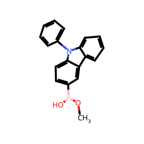 COB(O)c1ccc2c(c1)c1ccccc1n2-c1ccccc1